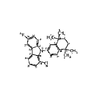 CC1(C)CCC(C)(C)c2cc(-n3c4ccc(F)cc4c4cccc(Cl)c43)ccc21